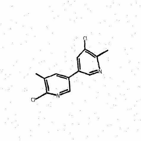 Cc1cc(-c2cnc(C)c(Cl)c2)cnc1Cl